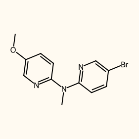 COc1ccc(N(C)c2ccc(Br)cn2)nc1